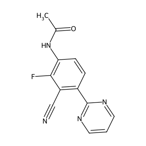 CC(=O)Nc1ccc(-c2ncccn2)c(C#N)c1F